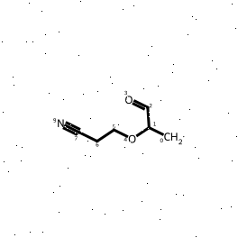 [CH2]C(C=O)OCCC#N